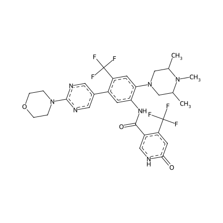 CC1CN(c2cc(C(F)(F)F)c(-c3cnc(N4CCOCC4)nc3)cc2NC(=O)c2c[nH]c(=O)cc2C(F)(F)F)CC(C)N1C